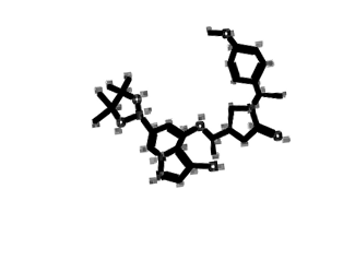 COc1ccc([C@@H](C)N2C[C@H]([C@@H](C)Oc3cc(B4OC(C)(C)C(C)(C)O4)cn4ncc(Cl)c34)CC2=O)cc1